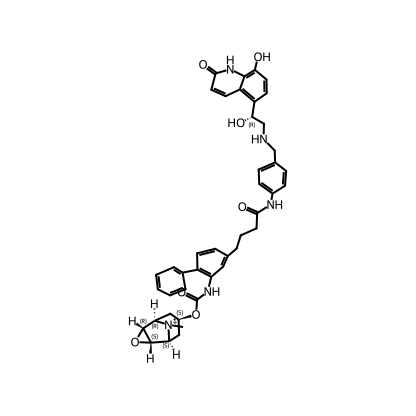 C[N+]1(C)[C@@H]2C[C@@H](OC(=O)Nc3cc(CCCC(=O)Nc4ccc(CNC[C@H](O)c5ccc(O)c6[nH]c(=O)ccc56)cc4)ccc3-c3ccccc3)C[C@H]1[C@@H]1O[C@@H]12